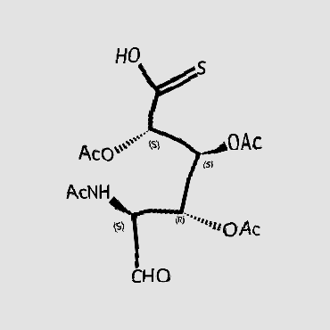 CC(=O)N[C@H](C=O)[C@@H](OC(C)=O)[C@H](OC(C)=O)[C@H](OC(C)=O)C(O)=S